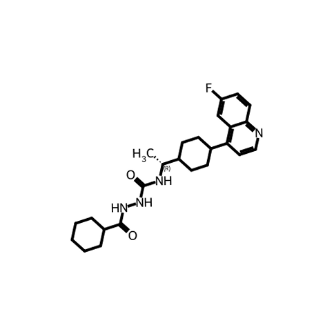 C[C@@H](NC(=O)NNC(=O)C1CCCCC1)C1CCC(c2ccnc3ccc(F)cc23)CC1